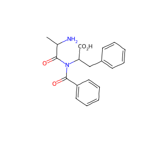 CC(N)C(=O)N(C(=O)c1ccccc1)C(Cc1ccccc1)C(=O)O